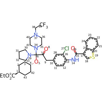 CCOC(=O)[C@H]1CC[C@H](OC(C(=O)Cc2ccc(NC(=O)c3csc4ccccc34)c(Cl)c2)(N2CCCC2)N2CCN(CC(F)(F)F)CC2)CC1